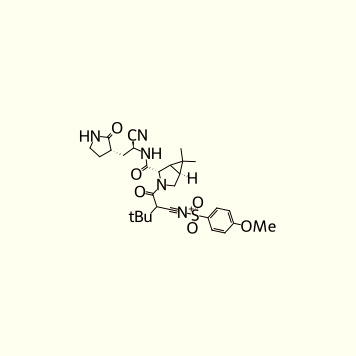 COc1ccc(S(=O)(=O)[N+]#CC(C(=O)N2C[C@H]3C([C@H]2C(=O)N[C@H](C#N)C[C@@H]2CCNC2=O)C3(C)C)C(C)(C)C)cc1